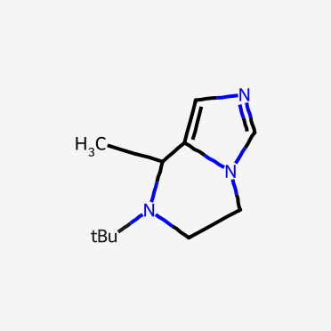 CC1c2cncn2CCN1C(C)(C)C